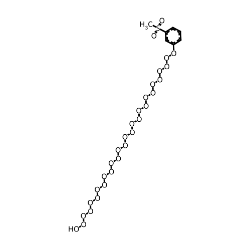 CS(=O)(=O)c1cccc(OOOOOOOOOOOOOOOOOOOOOOOOOOOO)c1